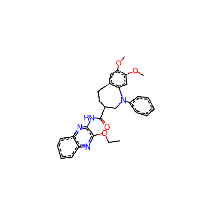 CCOc1nc2ccccc2nc1NC(=O)C1CCc2cc(OC)c(OC)cc2N(c2ccccc2)C1